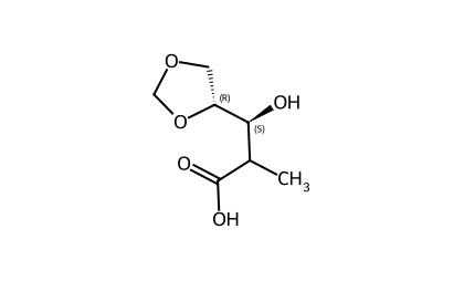 CC(C(=O)O)[C@H](O)[C@H]1COCO1